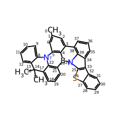 Cc1cc2c3c(c1)N1c4ccccc4C(C)(C)c4cccc(c41)B3n1c3sc4ccccc4c3c3cccc-2c31